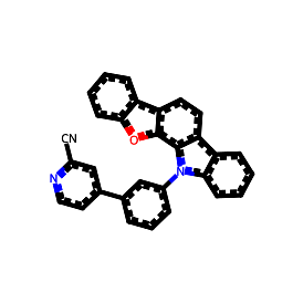 N#Cc1cc(-c2cccc(-n3c4ccccc4c4ccc5c6ccccc6oc5c43)c2)ccn1